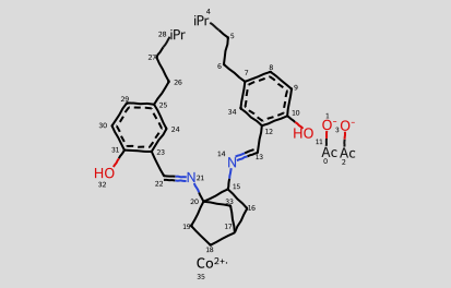 CC(=O)[O-].CC(=O)[O-].CC(C)CCc1ccc(O)c(C=NC2CC3CCC2(N=Cc2cc(CCC(C)C)ccc2O)C3)c1.[Co+2]